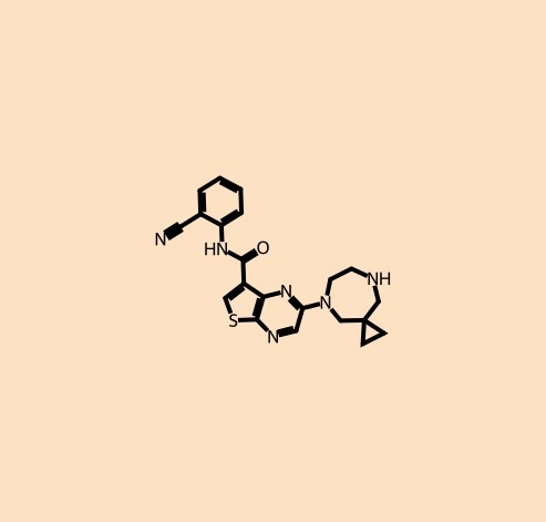 N#Cc1ccccc1NC(=O)c1csc2ncc(N3CCNCC4(CC4)C3)nc12